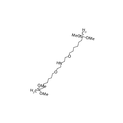 CO[Si](C)(CCCCCCOCCNCCOCCCCCC[Si](C)(OC)OC)OC